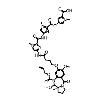 C=CCOC(=O)N1c2cc(OCCCC(=O)Nc3cn(C)c(C(=O)Nc4cn(C)c(C(=O)Oc5cc(C(=O)O)n(C)c5)n4)n3)c(OC)cc2C(=O)N2CCC[C@H]2C1O